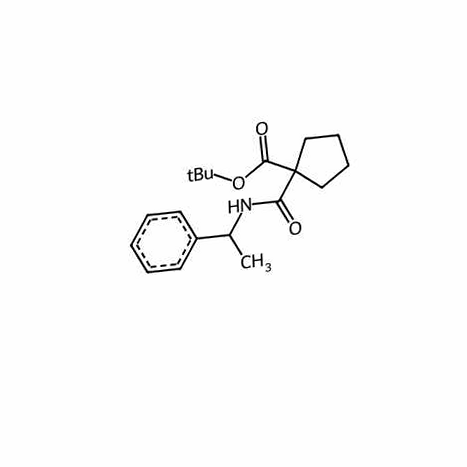 CC(NC(=O)C1(C(=O)OC(C)(C)C)CCCC1)c1ccccc1